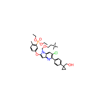 CCOP(=O)(OCC)c1cc(Oc2cc3nc(-c4ccc(C5(CO)CC5)cc4)c(Cl)cc3n2COCC[Si](C)(C)C)ccc1C